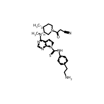 C[C@@H]1CCN(C(=O)CC#N)C[C@@H]1N(C)c1ncnc2c1ccn2C(=S)Nc1ccc(CCN)cc1